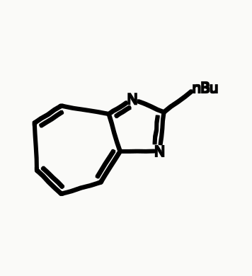 CCCCc1nc2cccccc-2n1